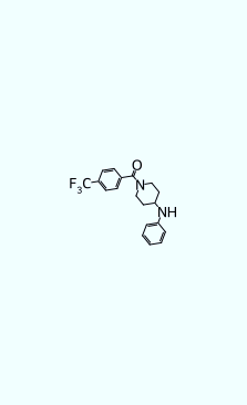 O=C(c1ccc(C(F)(F)F)cc1)N1CCC(Nc2ccccc2)CC1